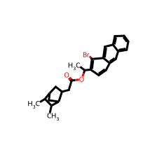 CC(OC(=O)CC1CC2CC1C(C)C2C)c1ccc2cc3ccccc3cc2c1Br